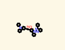 Oc1cc2c(cc1C#Cc1ccc3c(c1)c1ccccc1n3-c1ccccc1)c1ccccc1n2-c1nc(-c2ccccc2)c2ccccc2n1